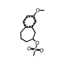 COc1ccc2c(c1)CC(OS(C)(=O)=O)CCC2